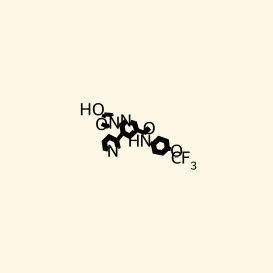 O=C(Nc1ccc(OC(F)(F)F)cc1)c1cnc(N2COC(O)C2)c(-c2cccnc2)c1